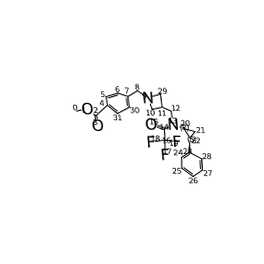 COC(=O)c1ccc(CN2CC(CN(C(=O)C(F)(F)F)[C@@H]3C[C@H]3c3ccccc3)C2)cc1